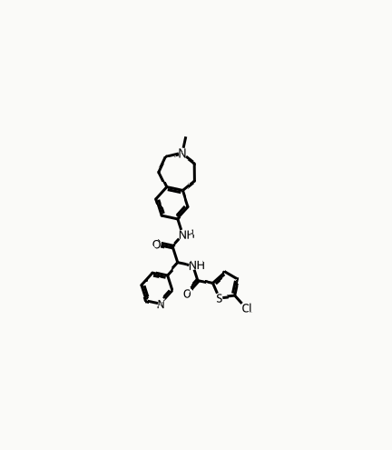 CN1CCc2ccc(NC(=O)C(NC(=O)c3ccc(Cl)s3)c3cccnc3)cc2CC1